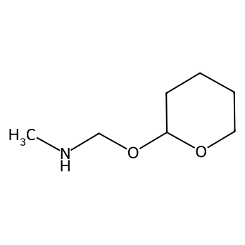 CNCOC1CCCCO1